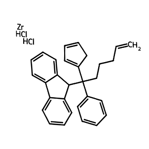 C=CCCCC(C1=CC=CC1)(c1ccccc1)C1c2ccccc2-c2ccccc21.Cl.Cl.[Zr]